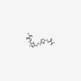 C=C(C)C(=O)OCC1CSC(CCCC2SCC(COC(=O)C(=C)C)S2)S1